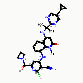 Cn1c(=O)cc(NC(C)(C)c2ncc(C3CC3)cn2)c2cccc(Nc3cc(C(=O)N4CCC4)nc(Cl)c3C#N)c21